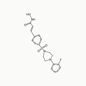 O=C(/C=C/c1ccc(S(=O)(=O)N2CCN(c3ccccc3F)CC2)cc1)NO